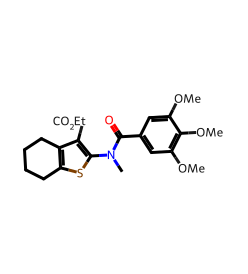 CCOC(=O)c1c(N(C)C(=O)c2cc(OC)c(OC)c(OC)c2)sc2c1CCCC2